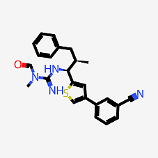 C[C@H](Cc1ccccc1)[C@H](NC(=N)N(C)C=O)c1cc(-c2cccc(C#N)c2)cs1